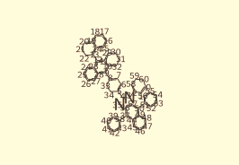 C1=CC(n2c(C3=CC=C(c4c5c(c(C6=c7ccccc7=CCC6)c6ccccc46)=CCCC=5)CC3)nc3c(-c4ccccc4)c4ccccc4c(-c4ccccc4)c32)=CCC1